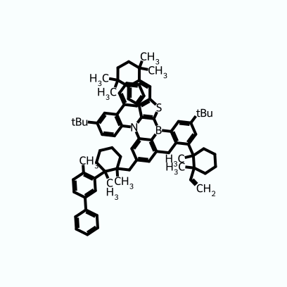 C=CC1(C)CCCCC1(C)c1cc(C(C)(C)C)cc2c1Cc1cc(CC3(C)CCCCC3(C)c3cc(-c4ccccc4)ccc3C)cc3c1B2c1sc2cc4c(cc2c1N3c1ccc(C(C)(C)C)cc1-c1ccccc1)C(C)(C)CCC4(C)C